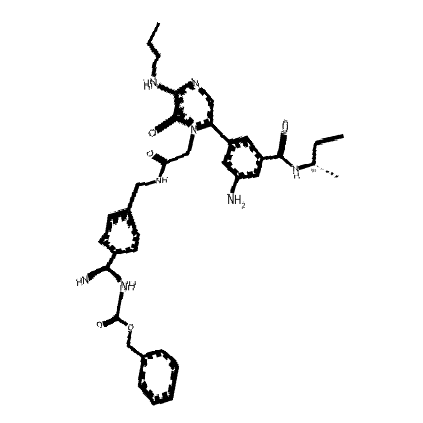 CCCNc1ncc(-c2cc(N)cc(C(=O)N[C@@H](C)CC)c2)n(CC(=O)NCc2ccc(C(=N)NC(=O)OCc3ccccc3)cc2)c1=O